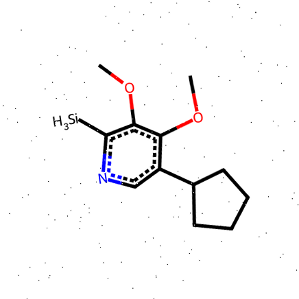 COc1c(C2CCCC2)cnc([SiH3])c1OC